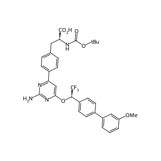 COc1cccc(-c2ccc([C@@H](Oc3cc(-c4ccc(C[C@H](NC(=O)OC(C)(C)C)C(=O)O)cc4)nc(N)n3)C(F)(F)F)cc2)c1